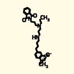 CCCN(CCCNCCCCc1ccc2c(c1)[S+]([O-])CN2C)CCCN1C(=O)c2ccccc2C1=O